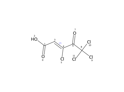 O=C(O)/C=C(\Cl)C(=O)C(Cl)(Cl)Cl